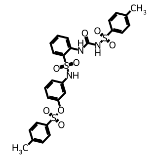 Cc1ccc(S(=O)(=O)NC(=O)Nc2ccccc2S(=O)(=O)Nc2cccc(OS(=O)(=O)c3ccc(C)cc3)c2)cc1